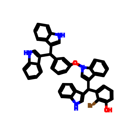 Oc1cccc(C(c2c[nH]c3ccccc23)c2cn(Oc3cccc(C(c4c[nH]c5ccccc45)c4c[nH]c5ccccc45)c3)c3ccccc23)c1Br